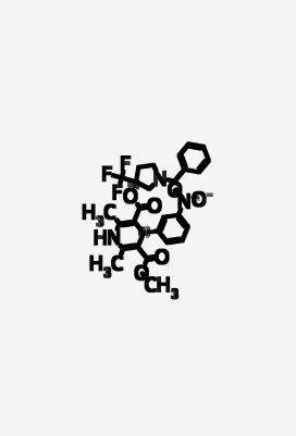 COC(=O)C1=C(C)NC(C)=C(C(=O)O[C@]2(C(F)(F)F)CCN(Cc3ccccc3)C2)[C@H]1c1cccc([N+](=O)[O-])c1